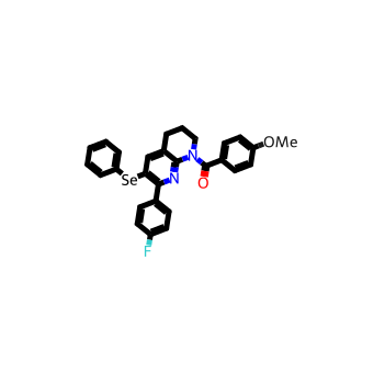 COc1ccc(C(=O)N2CCCc3cc([Se]c4ccccc4)c(-c4ccc(F)cc4)nc32)cc1